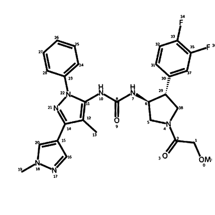 COCC(=O)N1C[C@@H](NC(=O)Nc2c(C)c(-c3cnn(C)c3)nn2-c2ccccc2)[C@H](c2ccc(F)c(F)c2)C1